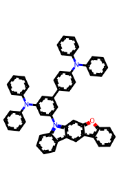 c1ccc(N(c2ccccc2)c2ccc(-c3cc(N(c4ccccc4)c4ccccc4)cc(-n4c5ccccc5c5cc6c(cc54)oc4ccccc46)c3)cc2)cc1